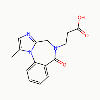 Cc1cnc2n1-c1ccccc1C(=O)N(CCC(=O)O)C2